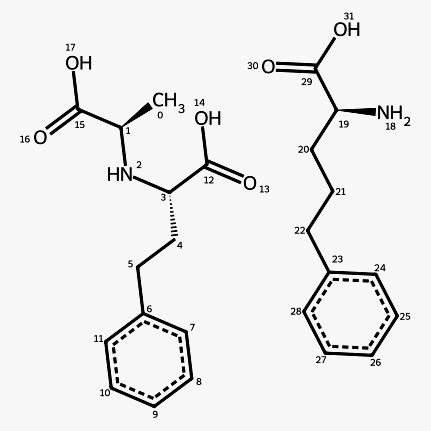 C[C@@H](N[C@@H](CCc1ccccc1)C(=O)O)C(=O)O.N[C@@H](CCCc1ccccc1)C(=O)O